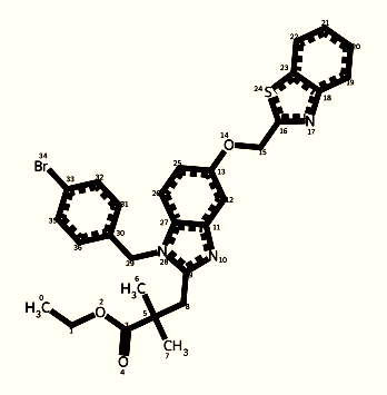 CCOC(=O)C(C)(C)Cc1nc2cc(OCc3nc4ccccc4s3)ccc2n1Cc1ccc(Br)cc1